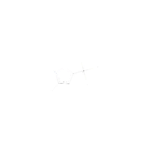 Cc1cc(C(F)(F)F)on1